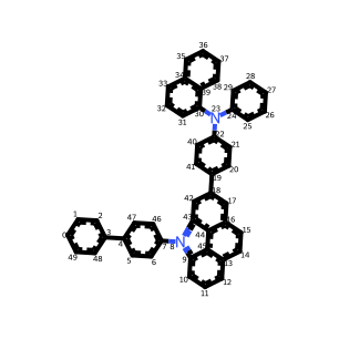 c1ccc(-c2ccc(-n3c4cccc5ccc6cc(-c7ccc(N(c8ccccc8)c8cccc9ccccc89)cc7)cc3c6c54)cc2)cc1